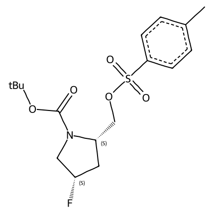 Cc1ccc(S(=O)(=O)OC[C@@H]2C[C@H](F)CN2C(=O)OC(C)(C)C)cc1